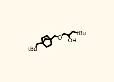 CC(C)(C)CC(O)COCC12CCC(CC(C)(C)C)(CC1)C2